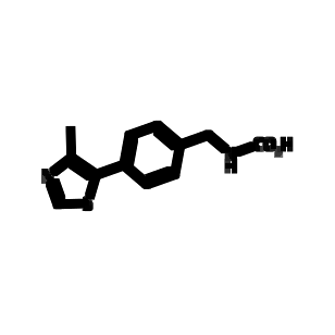 Cc1ncsc1-c1ccc(CNC(=O)O)cc1